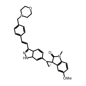 COc1ccc2c(c1)[C@]1(C[C@H]1C1=CC3NN=C(/C=C/c4ccc(CN5CCOCC5)cc4)C3C=C1)C(=O)N2C